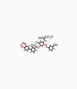 Cc1c(COc2cc(OCc3cccc(C#N)c3)c(/C=C(\C#N)C(=O)O)cc2Cl)cccc1-c1ccc2c(c1)OCCO2